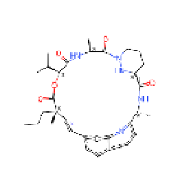 CCC[C@@]1(C)/C=C/c2ccc3ccc(nc3c2)[C@@H](C)NC(=O)[C@@H]2CCCN(N2)C(=O)[C@H](C)NC(=O)[C@H](C(C)C)OC1=O